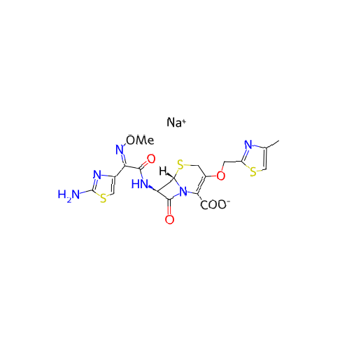 CO/N=C(\C(=O)N[C@@H]1C(=O)N2C(C(=O)[O-])=C(OCc3nc(C)cs3)CS[C@@H]12)c1csc(N)n1.[Na+]